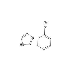 [Na+].[O-]c1ccccc1.c1c[nH]cn1